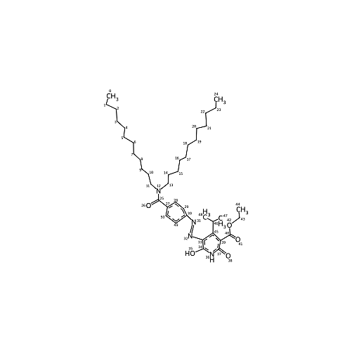 CCCCCCCCCCCCN(CCCCCCCCCCCC)C(=O)c1ccc(/N=N/c2c(O)[nH]c(=O)c(C(=O)OCC)c2C(C)C)cc1